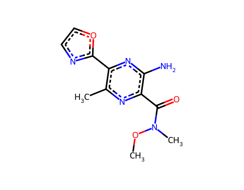 CON(C)C(=O)c1nc(C)c(-c2ncco2)nc1N